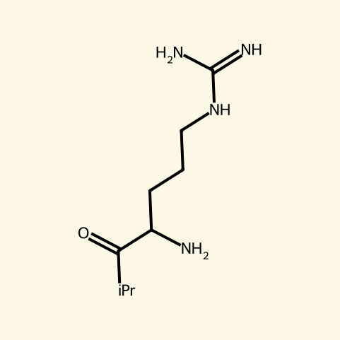 CC(C)C(=O)C(N)CCCNC(=N)N